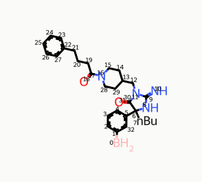 Bc1cccc(C2(CCCC)NC(=N)N(CC3CCN(C(=O)CCCc4ccccc4)CC3)C2=O)c1